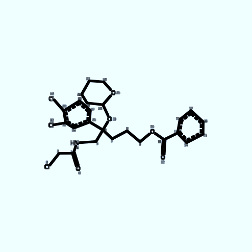 O=C(CCl)NCC(CCCOC(=O)c1ccccc1)(OC1CCCCO1)c1ccc(Cl)c(Cl)c1